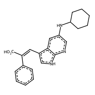 O=C(O)/C(=C/c1c[nH]c2ncc(NC3CCCCC3)cc12)c1ccccc1